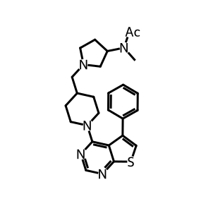 CC(=O)N(C)C1CCN(CC2CCN(c3ncnc4scc(-c5ccccc5)c34)CC2)C1